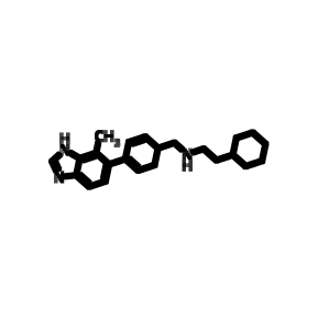 Cc1c(C2=CCC(CNCCC3CCCCC3)C=C2)ccc2nc[nH]c12